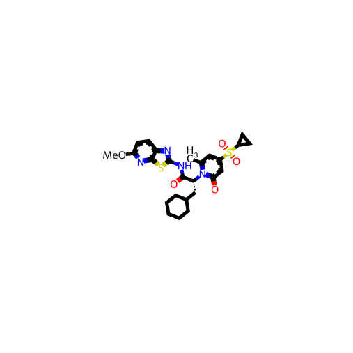 COc1ccc2nc(NC(=O)[C@@H](CC3CCCCC3)n3c(C)cc(S(=O)(=O)C4CC4)cc3=O)sc2n1